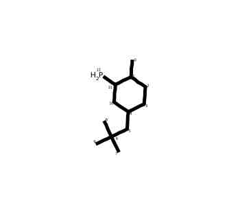 CC1CCC(CC(C)(C)C)CC1P